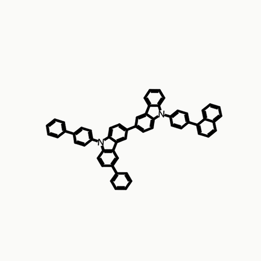 c1ccc(-c2ccc(-n3c4ccc(-c5ccccc5)cc4c4cc(-c5ccc6c(c5)c5ccccc5n6-c5ccc(-c6cccc7ccccc67)cc5)ccc43)cc2)cc1